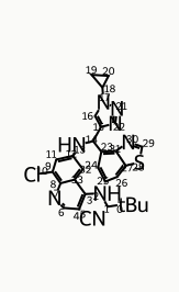 CC(C)(C)CNc1c(C#N)cnc2c(Cl)cc(NC(c3cn(C4CC4)nn3)c3cccc4scnc34)cc12